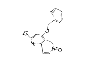 O=[N+]1C=Cc2nc(Cl)cc(OCc3ccccc3)c2C1